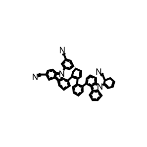 N#Cc1cccc(-n2c3ccc(C#N)cc3c3cccc(C4=C(c5ccccc5-c5cccc6c5c5ccccc5n6C5=CC=CCC5C#N)C=CCC4)c32)c1